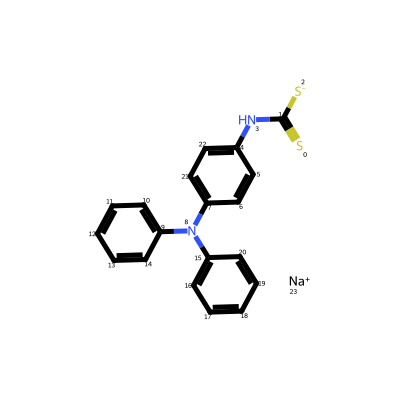 S=C([S-])Nc1ccc(N(c2ccccc2)c2ccccc2)cc1.[Na+]